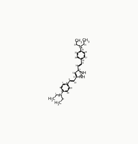 CCN(CC)c1ccc(C=CC2=CC(C=Cc3ccc(N(CC)CC)cc3)NN2)cc1